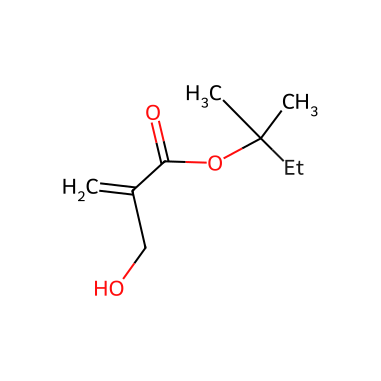 C=C(CO)C(=O)OC(C)(C)CC